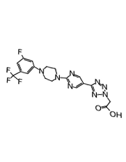 O=C(O)Cn1nnc(-c2cnc(N3CCN(c4cc(F)cc(C(F)(F)F)c4)CC3)nc2)n1